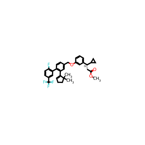 COC(=O)C[C@H](c1cccc(OCc2ccc(-c3cc(C(F)(F)F)ccc3F)c(C3=CCCC3(C)C)c2)c1)C1CC1